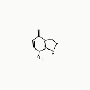 C=C1C=CC(N)C2=C1CCN2